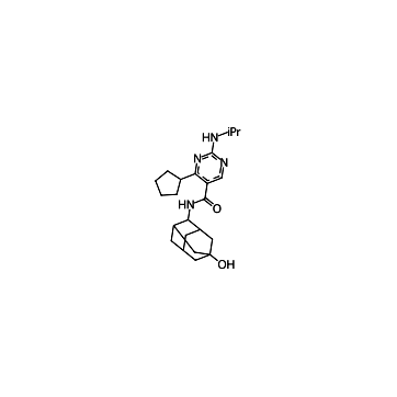 CC(C)Nc1ncc(C(=O)NC2C3CC4CC2CC(O)(C4)C3)c(C2CCCC2)n1